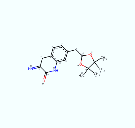 CC1(C)OB(Cc2ccc3c(c2)NC(=O)C(=N)C3)OC1(C)C